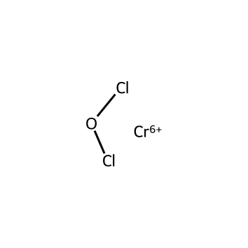 ClOCl.[Cr+6]